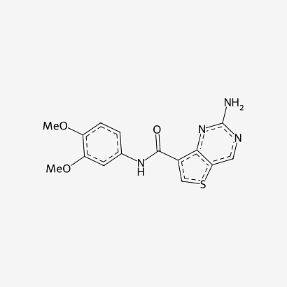 COc1ccc(NC(=O)c2csc3cnc(N)nc23)cc1OC